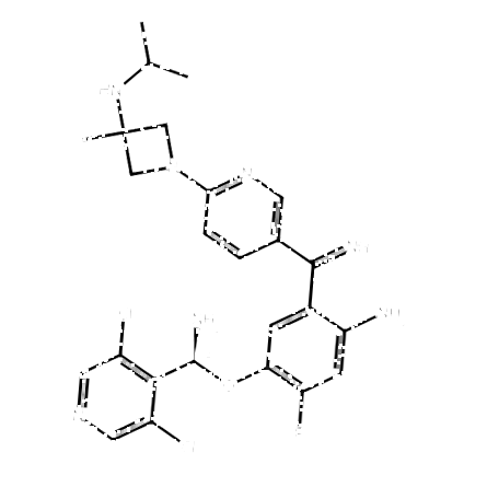 CC(C)NC1(C)CN(c2ccc(C(=N)c3cc(O[C@H](N)c4c(Cl)cncc4Cl)c(F)cc3N)cn2)C1